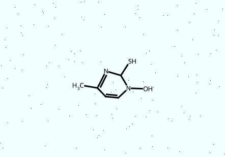 CC1=NC(S)N(O)C=C1